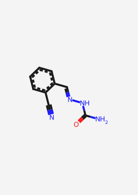 N#Cc1ccccc1/C=N/NC(N)=O